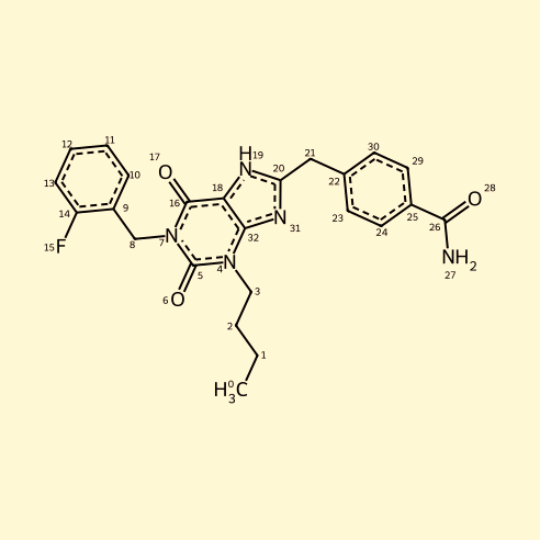 CCCCn1c(=O)n(Cc2ccccc2F)c(=O)c2[nH]c(Cc3ccc(C(N)=O)cc3)nc21